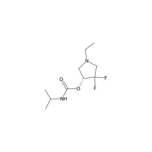 CCN1C[C@@H](OC(=O)NC(C)C)C(F)(F)C1